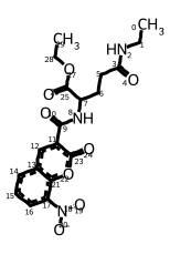 CCNC(=O)CCC(NC(=O)c1cc2cccc([N+](=O)[O-])c2oc1=O)C(=O)OCC